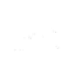 N[C@@H](CC(=O)O)CC(O)(C(=O)O)c1c[nH]c2ccccc12